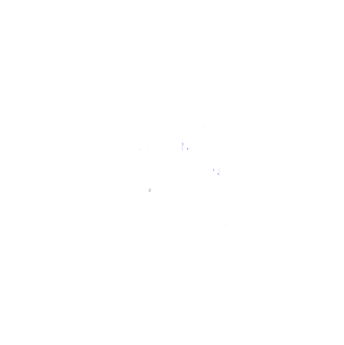 CCN1C(=O)OC2=COCC[C@@H]2c2cc(Br)cnc21